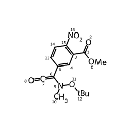 COC(=O)c1cc(C(=C=O)N(C)OC(C)(C)C)ccc1[N+](=O)[O-]